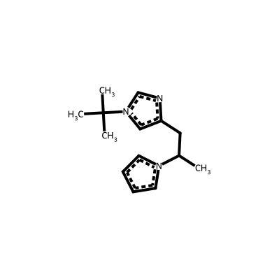 CC(Cc1cn(C(C)(C)C)cn1)n1cccc1